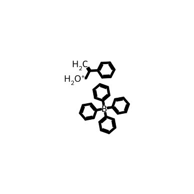 C=C(C[OH2+])c1ccccc1.c1ccc([B-](c2ccccc2)(c2ccccc2)c2ccccc2)cc1